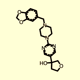 OC1(c2cnc(N3CCN(Cc4ccc5c(c4)OCO5)CC3)nc2)CCOC1